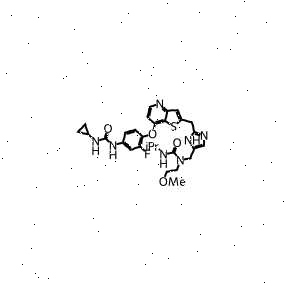 COCCN(Cc1cnc(Cc2cc3nccc(Oc4ccc(NC(=O)NC5CC5)cc4F)c3s2)[nH]1)C(=O)NC(C)C